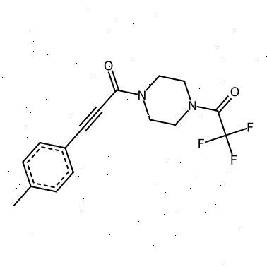 Cc1ccc(C#CC(=O)N2CCN(C(=O)C(F)(F)F)CC2)cc1